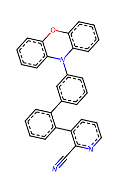 N#Cc1ncccc1-c1ccccc1-c1cccc(N2c3ccccc3Oc3ccccc32)c1